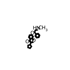 CNCCC(Oc1ccc2c(=O)c(C3CCCC3)coc2c1)c1ccccc1